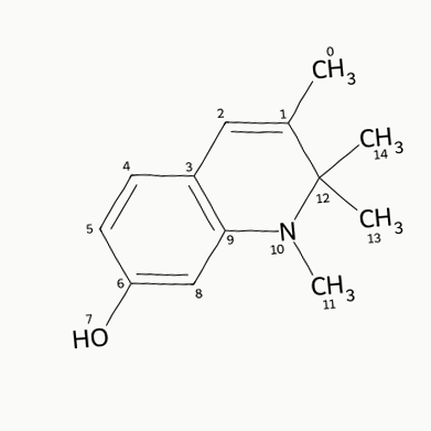 CC1=Cc2ccc(O)cc2N(C)C1(C)C